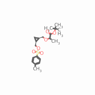 Cc1ccc(S(=O)(=O)OC[C@H]2C[C@H]2COC(C)C(=O)OC(C)(C)C)cc1